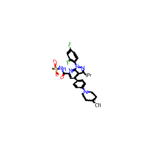 CC(C)c1nn(-c2ccc(F)cc2F)c2nc(C(=O)NS(C)(=O)=O)cc(-c3ccc(N4CCC(C#N)CC4)cc3)c12